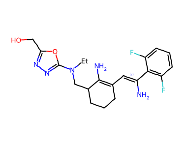 CCN(CC1CCCC(/C=C(\N)c2c(F)cccc2F)=C1N)c1nnc(CO)o1